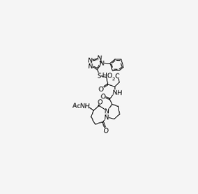 CC(=O)NC1CCC(=O)N2CCCC(C(=O)NC(CC(=O)O)C(=O)CSc3nnnn3-c3ccccc3)N2C1=O